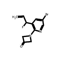 C=CC(F)c1cc(Br)cnc1N1CC(=O)C1